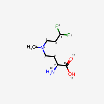 CN(CCC(F)F)CC[C@H](N)C(=O)O